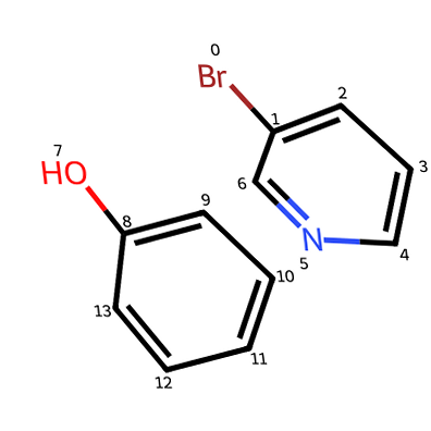 Brc1cccnc1.Oc1ccccc1